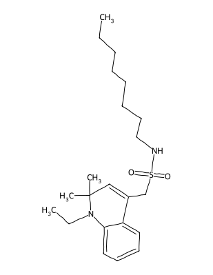 CCCCCCCCNS(=O)(=O)CC1=CC(C)(C)N(CC)c2ccccc21